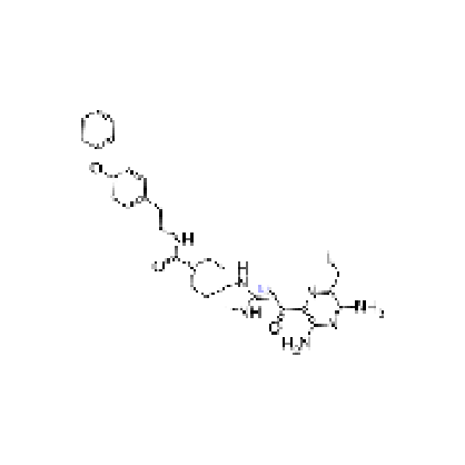 Nc1nc(N)c(C(=O)/N=C2\NCC3(CCN(C(=O)NCCc4ccc(Oc5ccccc5)cc4)CC3)N2)nc1CI